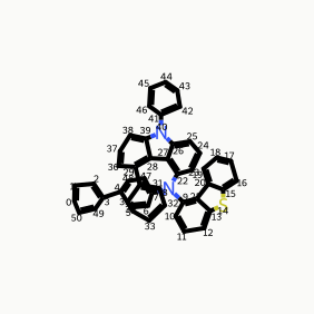 c1ccc(-c2ccc(N(c3cccc4sc5ccccc5c34)c3cccc4c3c3c(-c5ccccc5)cccc3n4-c3ccccc3)cc2)cc1